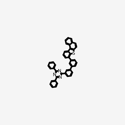 c1ccc(-c2nc(-c3ccccc3)nc(-c3cccc(-c4cccc(-c5cccc6c5sc5ccc7ccccc7c56)c4)c3)n2)cc1